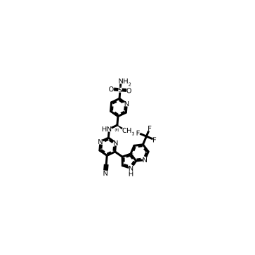 C[C@@H](Nc1ncc(C#N)c(-c2c[nH]c3ncc(C(F)(F)F)cc23)n1)c1ccc(S(N)(=O)=O)nc1